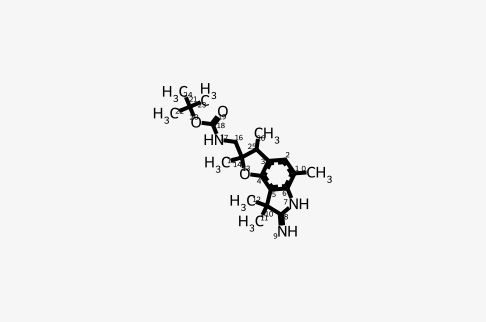 Cc1cc2c(c3c1NC(=N)C3(C)C)OC(C)(CNC(=O)OC(C)(C)C)C2C